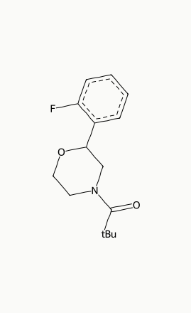 CC(C)(C)C(=O)N1CCOC(c2ccccc2F)C1